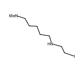 CNCCCCCNCCI